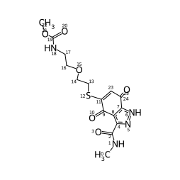 CNC(=O)c1n[nH]c2c1C(=O)C(SCCOCCNC(=O)OC)=CC2=O